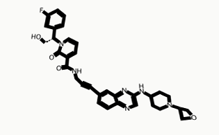 O=C(NCC#Cc1ccc2ncc(NC3CCN(C4COC4)CC3)nc2c1)c1cccn([C@H](CO)c2cccc(F)c2)c1=O